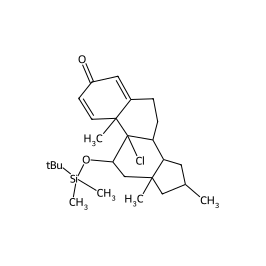 CC1CC2C3CCC4=CC(=O)C=CC4(C)C3(Cl)C(O[Si](C)(C)C(C)(C)C)CC2(C)C1